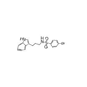 O=S(=O)(NCCCc1c[nH]c2ccccc12)c1ccc(Br)cc1